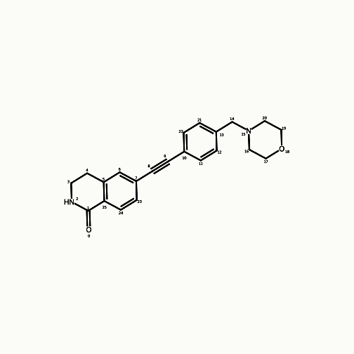 O=C1NCCc2cc(C#Cc3ccc(CN4CCOCC4)cc3)ccc21